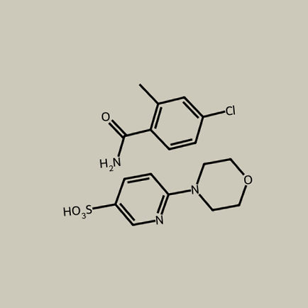 Cc1cc(Cl)ccc1C(N)=O.O=S(=O)(O)c1ccc(N2CCOCC2)nc1